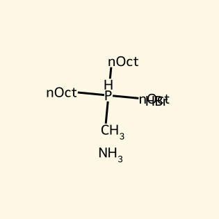 Br.CCCCCCCC[PH](C)(CCCCCCCC)CCCCCCCC.N